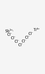 [Cl-].[Cl-].[Cl-].[Cl-].[Cl-].[Cl-].[Cl-].[Sb+3].[Ti+4]